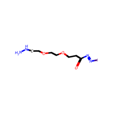 NNCCOCCOCCC(=O)N=NI